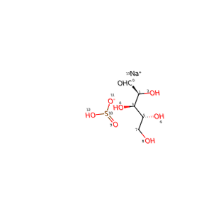 O=C[C@@H](O)[C@H](O)[C@H](O)CO.O=S([O-])O.[Na+]